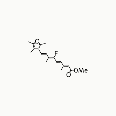 COC(=O)/C=C(C)/C=C/C(F)=C(C)/C=C/c1c(C)oc(C)c1C